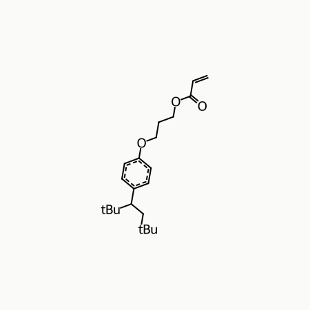 C=CC(=O)OCCCOc1ccc(C(CC(C)(C)C)C(C)(C)C)cc1